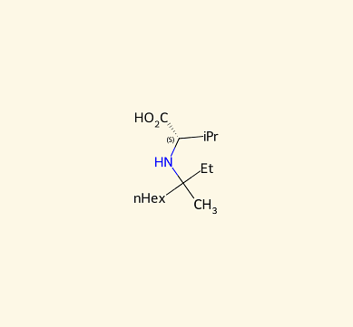 CCCCCCC(C)(CC)N[C@H](C(=O)O)C(C)C